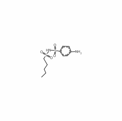 CCCCCS(=O)(=O)NS(=O)(=O)c1ccc(N)cc1